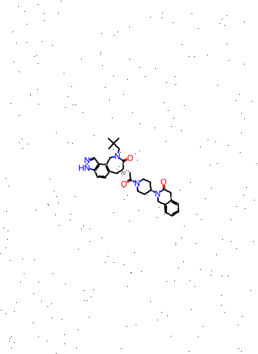 CC(C)(C)CN1Cc2c(ccc3[nH]ncc23)C[C@@H](CC(=O)N2CCC(N3Cc4ccccc4CC3=O)CC2)C1=O